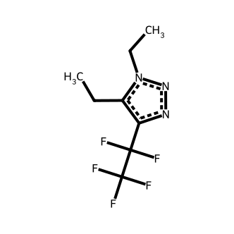 CCc1c(C(F)(F)C(F)(F)F)nnn1CC